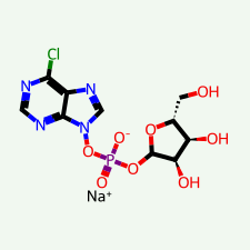 O=P([O-])(OC1O[C@H](CO)[C@@H](O)[C@H]1O)On1cnc2c(Cl)ncnc21.[Na+]